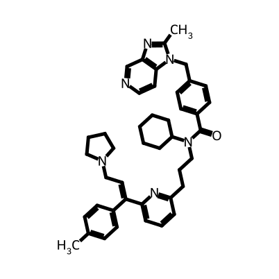 Cc1ccc(C(=CCN2CCCC2)c2cccc(CCCN(C(=O)c3ccc(Cn4c(C)nc5cnccc54)cc3)C3CCCCC3)n2)cc1